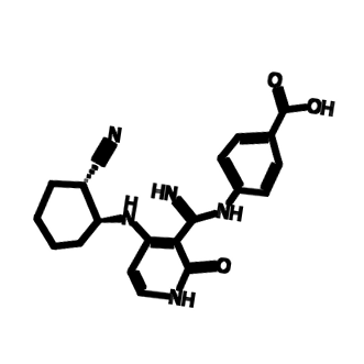 N#C[C@H]1CCCC[C@@H]1Nc1cc[nH]c(=O)c1C(=N)Nc1ccc(C(=O)O)cc1